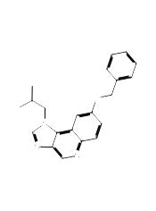 CC(C)Cn1cnc2cnc3ccc(OCc4ccccc4)cc3c21